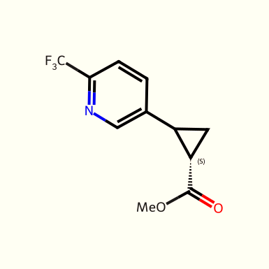 COC(=O)[C@H]1CC1c1ccc(C(F)(F)F)nc1